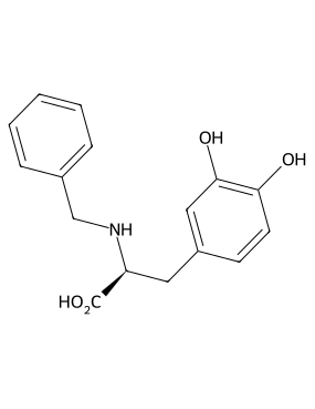 O=C(O)[C@H](Cc1ccc(O)c(O)c1)NCc1ccccc1